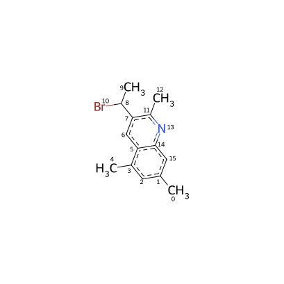 Cc1cc(C)c2cc(C(C)Br)c(C)nc2c1